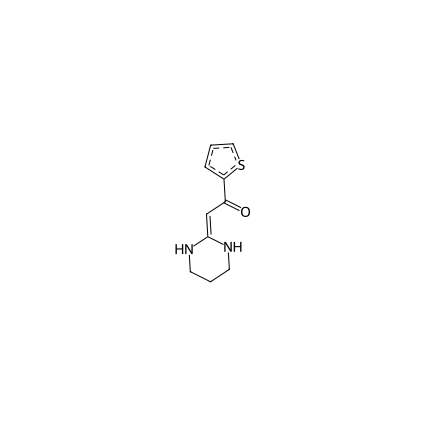 O=C(C=C1NCCCN1)c1cccs1